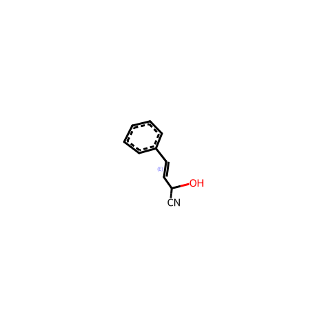 N#CC(O)/C=C/c1ccccc1